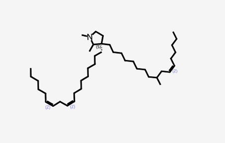 CCCCC/C=C\C/C=C\CCCCCCCC[C@@]1(CCCCCCCCC(C)C/C=C\CCCCC)CCN(C)C1C